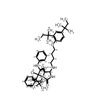 CCC(C)(C)c1ccc(OCCCCNC2NC(=O)[N+](Cc3ccccc3)(C(Cl)(C(=O)Nc3ccccc3)C(=O)C(C)(C)C)C2=O)c(C(C)(C)CC)c1